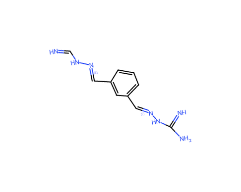 N=CN/N=C/c1cccc(/C=N/NC(=N)N)c1